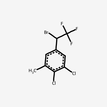 Cc1cc(C(Br)C(F)(F)F)cc(Cl)c1Cl